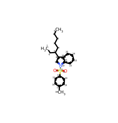 CCCCCC(CC)c1cn(S(=O)(=O)c2ccc(C)cc2)c2ccccc12